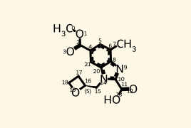 COC(=O)c1cc(C)c2nc(C(=O)O)n(C[C@@H]3CCO3)c2c1